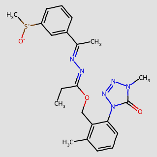 CC/C(=N\N=C(/C)c1cccc([S+](C)[O-])c1)OCc1c(C)cccc1-n1nnn(C)c1=O